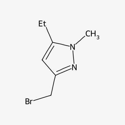 CCc1cc(CBr)nn1C